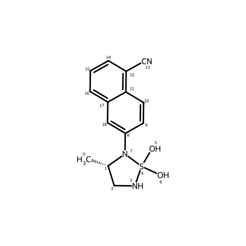 C[C@H]1CNS(O)(O)N1c1ccc2c(C#N)cccc2c1